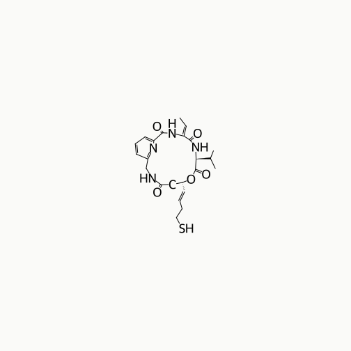 C/C=C1\NC(=O)c2cccc(n2)CNC(=O)C[C@@H](/C=C/CCS)OC(=O)[C@H](C(C)C)NC1=O